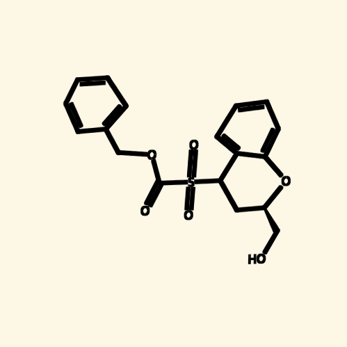 O=C(OCc1ccccc1)S(=O)(=O)C1C[C@H](CO)Oc2ccccc21